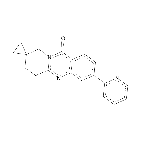 O=c1c2ccc(-c3ccccn3)cc2nc2n1CC1(CC2)CC1